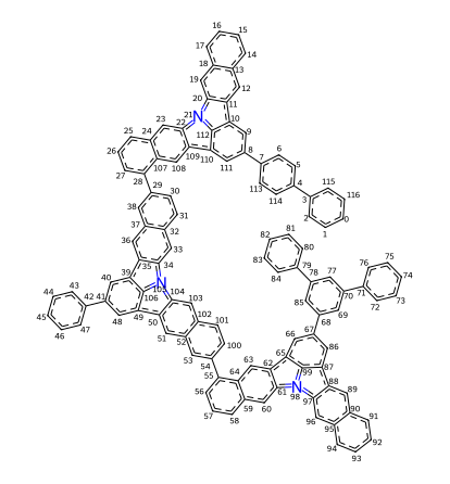 c1ccc(-c2ccc(-c3cc4c5cc6ccccc6cc5n5c6cc7cccc(-c8ccc9cc%10c(cc9c8)c8cc(-c9ccccc9)cc9c%11cc%12cc(-c%13cccc%14cc%15c(cc%13%14)c%13cc(-c%14cc(-c%16ccccc%16)cc(-c%16ccccc%16)c%14)cc%14c%16cc%17ccccc%17cc%16n%15c%14%13)ccc%12cc%11n%10c89)c7cc6c(c3)c45)cc2)cc1